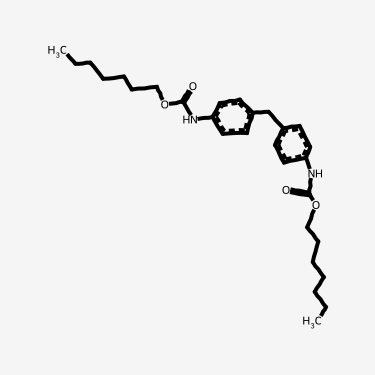 CCCCCCCOC(=O)Nc1ccc(Cc2ccc(NC(=O)OCCCCCCC)cc2)cc1